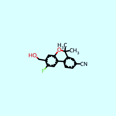 CC1(C)Oc2cc(CO)c(F)cc2-c2ccc(C#N)cc21